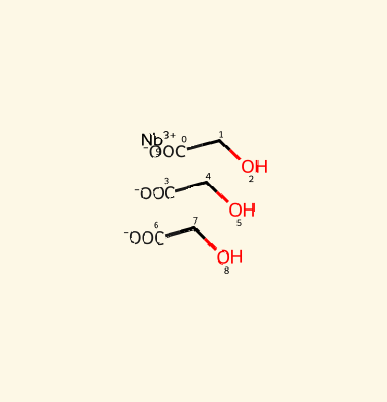 O=C([O-])CO.O=C([O-])CO.O=C([O-])CO.[Nb+3]